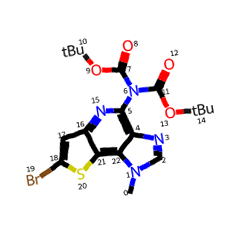 Cn1cnc2c(N(C(=O)OC(C)(C)C)C(=O)OC(C)(C)C)nc3cc(Br)sc3c21